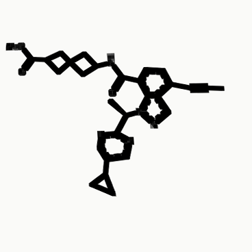 CC#Cc1ccc(C(=O)NC2CC3(C2)CC(C(=O)OC)C3)c2c1cnn2[C@H](C)c1ncc(C2CC2)cn1